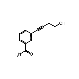 NC(=O)c1cccc(C#CCCO)c1